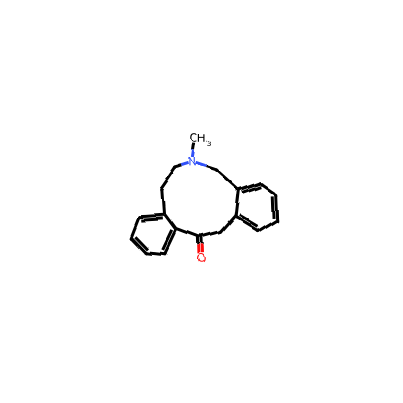 CN1CCc2ccccc2C(=O)Cc2ccccc2C1